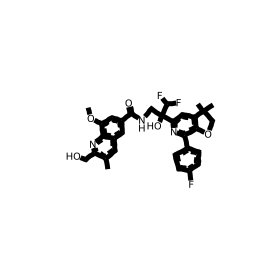 COc1cc(C(=O)NCC(O)(c2cc3c(c(-c4ccc(F)cc4)n2)OCC3(C)C)C(F)F)cc2cc(C)c(CO)nc12